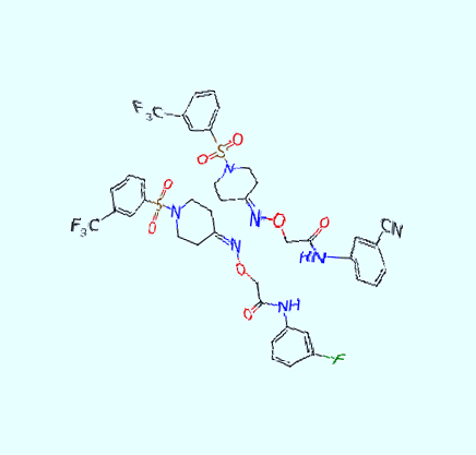 N#Cc1cccc(NC(=O)CON=C2CCN(S(=O)(=O)c3cccc(C(F)(F)F)c3)CC2)c1.O=C(CON=C1CCN(S(=O)(=O)c2cccc(C(F)(F)F)c2)CC1)Nc1cccc(F)c1